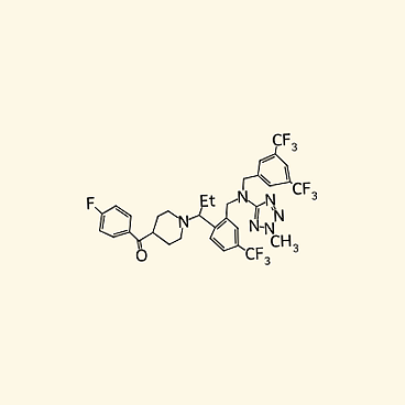 CCC(c1ccc(C(F)(F)F)cc1CN(Cc1cc(C(F)(F)F)cc(C(F)(F)F)c1)c1nnn(C)n1)N1CCC(C(=O)c2ccc(F)cc2)CC1